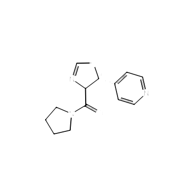 O=C(C1N=CO[C@@H]1c1ccncc1)N1CCCC1